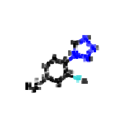 Cc1ccc(-n2cnnn2)c(F)c1